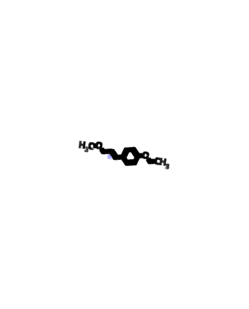 CCOc1ccc(/C=C/COC)cc1